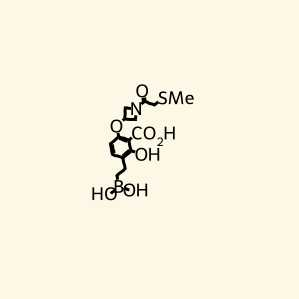 CSCC(=O)N1CC(Oc2ccc(CCB(O)O)c(O)c2C(=O)O)C1